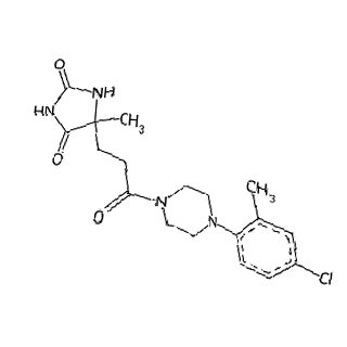 Cc1cc(Cl)ccc1N1CCN(C(=O)CCC2(C)NC(=O)NC2=O)CC1